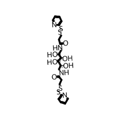 O=C(CCSSc1ccccn1)NC[C@@H](O)[C@@H](O)[C@H](O)[C@H](O)CNC(=O)CCSSc1ccccn1